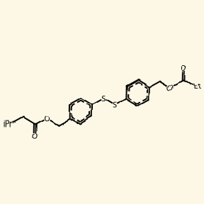 CCC(=O)OCc1ccc(SSc2ccc(COC(=O)CC(C)C)cc2)cc1